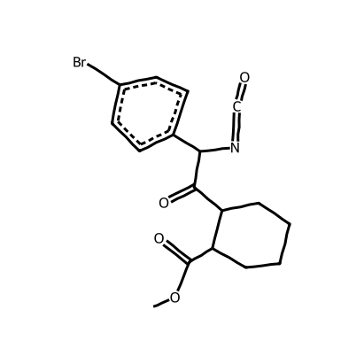 COC(=O)C1CCCCC1C(=O)C(N=C=O)c1ccc(Br)cc1